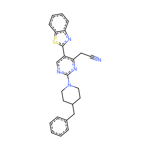 N#CCc1nc(N2CCC(Cc3ccccc3)CC2)ncc1-c1nc2ccccc2s1